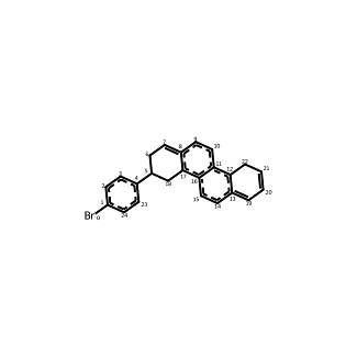 Brc1ccc(C2CC=c3ccc4c5c(ccc4c3C2)=CC=CC5)cc1